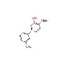 COc1ccc(-c2cccc(OC(C)=O)c2)cc1O